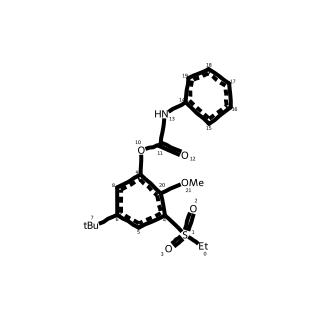 CCS(=O)(=O)c1cc(C(C)(C)C)cc(OC(=O)Nc2ccccc2)c1OC